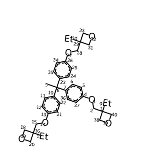 CCC1(COc2ccc(C(C)(c3ccc(OCC4(CC)COC4)cc3)c3ccc(OCC4(CC)COC4)cc3)cc2)COC1